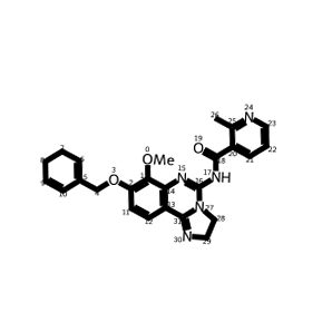 COc1c(OCC2=CCCC=C2)ccc2c1N=C(NC(=O)c1cccnc1C)N1CCN=C21